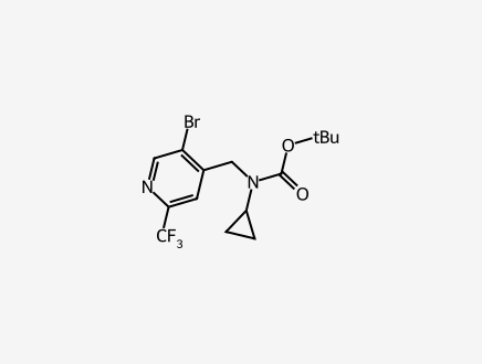 CC(C)(C)OC(=O)N(Cc1cc(C(F)(F)F)ncc1Br)C1CC1